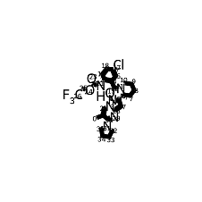 Cc1cn2nc([C@@H]3CCCCN3C(=O)c3cc(Cl)ccc3NC(=O)OCC(F)(F)F)cc2nc1N1CCCC1